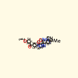 C#CCOc1cccc(C(=O)c2ccc(N3C(=O)c4c(C(N)=O)c(-c5ccc(OC)c(C#N)c5)nn4C[C@@H]3C)cc2)c1